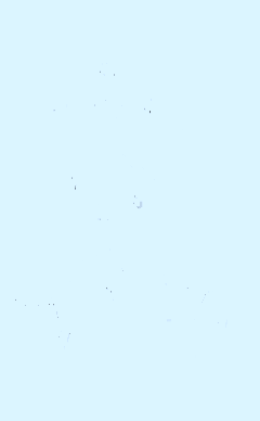 Cc1c(C(C)C(F)(F)F)nn(CC2CC(F)(F)C2)c1C(=O)Nc1ccnc(C(N)=O)c1